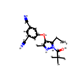 BCc1c(Oc2cc(C#N)cc(C#N)c2)c(C)nn1C(=O)C(C)(C)C